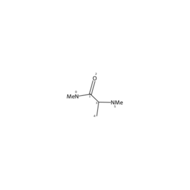 CNC(=O)C(C)NC